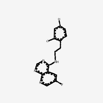 Fc1cnc2ncnc(NCCc3ccc(Cl)cc3Cl)c2c1